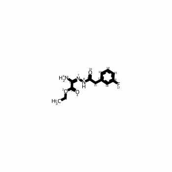 CCOC(=O)/C(N)=N\NC(=O)Cc1cccc(F)c1